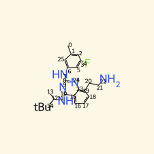 Cc1cc(F)cc(Nc2nc(N[C@H](C)C(C)(C)C)c3cccc(CCN)c3n2)c1